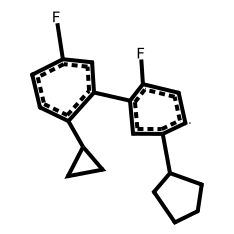 Fc1ccc(C2CC2)c(-c2cc(C3CCCC3)[c]cc2F)c1